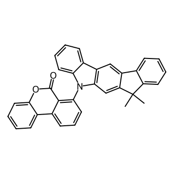 CC1(C)c2ccccc2-c2cc3c4ccccc4n(-c4cccc5c4c(=O)oc4ccccc45)c3cc21